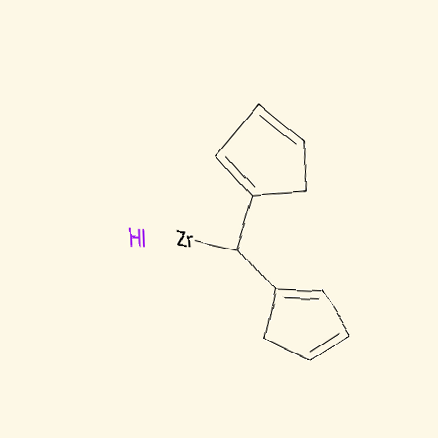 I.[Zr][CH](C1=CC=CC1)C1=CC=CC1